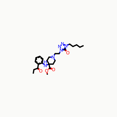 CCCCCn1nnn(CCN2CCC(Nc3ccccc3C(=O)CC)(C(=O)OC)CC2)c1=O